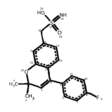 CC1(C)C=C(c2ccc(F)cc2)c2ccc(CS(=N)(=O)O)cc2O1